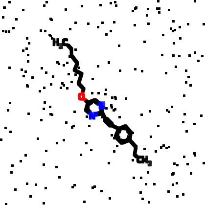 CCCCCCCCOc1cnc(C#Cc2ccc(CCC)cc2)nc1